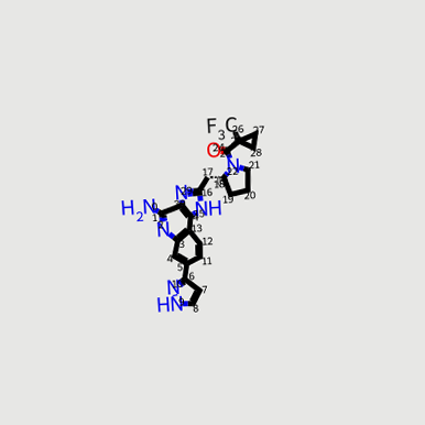 Nc1nc2cc(-c3cc[nH]n3)ccc2c2[nH]c(C[C@H]3CCCN3C(=O)C3(C(F)(F)F)CC3)nc12